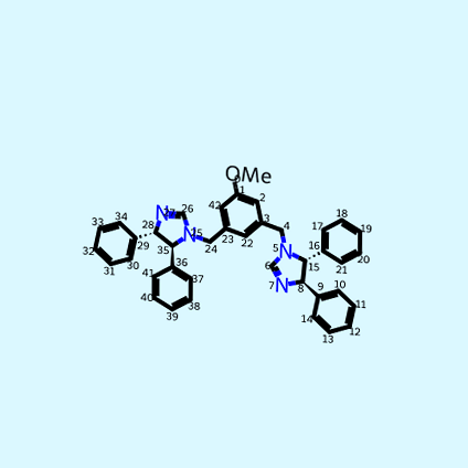 COc1cc(CN2C=N[C@H](c3ccccc3)[C@H]2c2ccccc2)cc(CN2C=N[C@@H](c3ccccc3)[C@@H]2c2ccccc2)c1